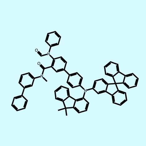 CN(C(=O)c1cc(-c2ccc(N(c3ccc4c(c3)-c3ccccc3C43c4ccccc4-c4ccccc43)c3cccc4c3-c3ccccc3C4(C)C)cc2)ccc1N(C=O)c1ccccc1)c1cccc(-c2ccccc2)c1